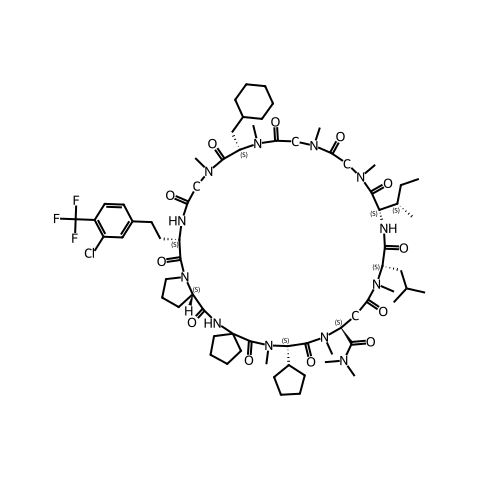 CC[C@H](C)[C@@H]1NC(=O)[C@H](CC(C)C)N(C)C(=O)C[C@@H](C(=O)N(C)C)N(C)C(=O)[C@H](C2CCCC2)N(C)C(=O)C2(CCCC2)NC(=O)[C@@H]2CCCN2C(=O)[C@H](CCc2ccc(C(F)(F)F)c(Cl)c2)NC(=O)CN(C)C(=O)[C@H](CC2CCCCC2)N(C)C(=O)CN(C)C(=O)CN(C)C1=O